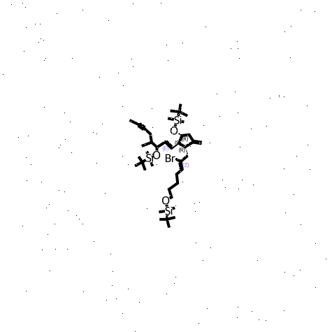 C=C1C[C@@H](O[Si](C)(C)C(C)(C)C)[C@H](/C=C/C(O[Si](C)(C)C(C)(C)C)C(C)CC#CC)[C@H]1C/C(Br)=C/CCCCO[Si](C)(C)C(C)(C)C